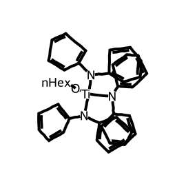 CCCCCC[O][Ti]([N](c1ccccc1)c1ccccc1)([N](c1ccccc1)c1ccccc1)[N](c1ccccc1)c1ccccc1